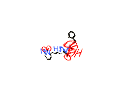 O=C(N[C@@H](CC=CC[C@H]1CCCCc2noc(=O)n21)C(=O)O)OCc1ccccc1